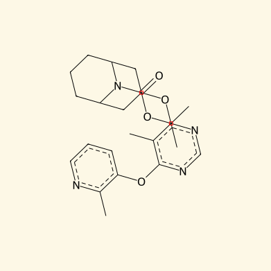 Cc1ncccc1Oc1ncnc(OC2CC3CCCC(C2)N3C(=O)OC(C)C)c1C